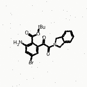 CC(C)(C)OC(=O)c1c(N)cc(Br)cc1C(=O)C(=O)N1Cc2ccccc2C1